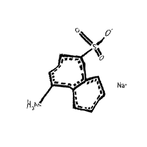 O=S(=O)([O-])c1ccc([AsH2])c2ccccc12.[Na+]